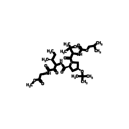 CC[C@@H](C)C(NC(=O)[C@@H]1C[C@@H](OC(C)(C)C)CN1C(=O)C(NC(=O)OCC(C)C)C(C)(C)C)C(=O)C(=O)NCC(=O)OC